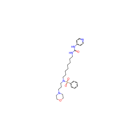 O=C(NCCCCCCCCN(CCCN1CCOCC1)S(=O)(=O)c1ccccc1)Nc1ccncc1